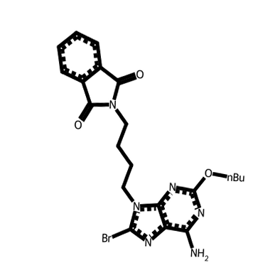 CCCCOc1nc(N)c2nc(Br)n(CCCCN3C(=O)c4ccccc4C3=O)c2n1